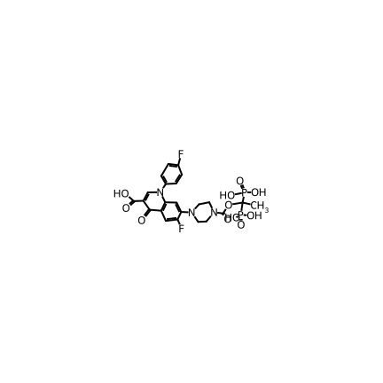 CC(OC(=O)N1CCN(c2cc3c(cc2F)c(=O)c(C(=O)O)cn3-c2ccc(F)cc2)CC1)(P(=O)(O)O)P(=O)(O)O